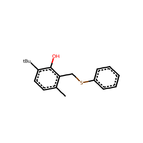 Cc1ccc(C(C)(C)C)c(O)c1CSc1ccccc1